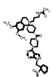 COc1cc2c(cc1OC)[C@]1(CC[C@@H](C(=O)N3CCN(c4ncnc5c4cnn5Cc4ccccc4[N+](=O)[O-])CC3)CC1)N(CCCNC(C)=O)CC2